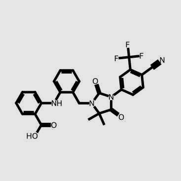 CC1(C)C(=O)N(c2ccc(C#N)c(C(F)(F)F)c2)C(=O)N1Cc1ccccc1Nc1ccccc1C(=O)O